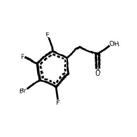 O=C(O)Cc1cc(F)c(Br)c(F)c1F